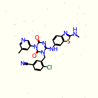 CNc1nc2ccc(Nc3nc(=O)n(-c4cncc(C)c4)c(=O)n3Cc3cc(C#N)ccc3Cl)cc2s1